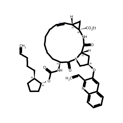 C=CCCC[C@@H]1CCC[C@H]1OC(=O)N[C@H]1CCCCC/C=C\[C@@H]2C[C@@]2(C(=O)OCC)NC(=O)[C@@H]2C[C@@H](Oc3cc4ccccc4nc3C=C)CN2C1=O